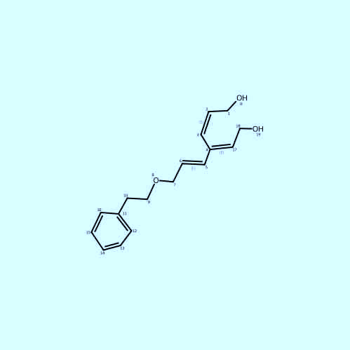 OC\C=C/C(/C=C/COCCc1ccccc1)=C\CO